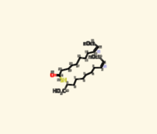 CCCCCCCC/C=C\CCCCCCCC(=O)O.CCCCCCCC/C=C\CCCCCCCC(=O)S